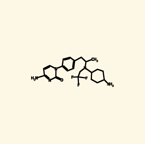 CC(Cc1ccc(-n2ccc(N)nc2=O)cc1)N(CC(F)(F)F)C1CCC(N)CC1